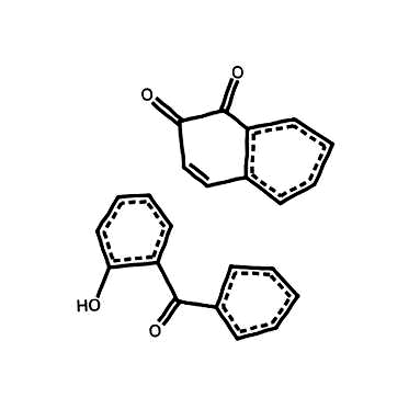 O=C(c1ccccc1)c1ccccc1O.O=C1C=Cc2ccccc2C1=O